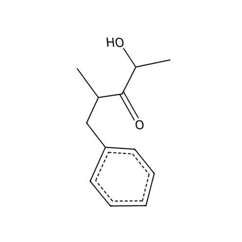 CC(O)C(=O)C(C)Cc1ccccc1